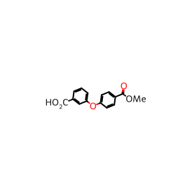 COC(=O)c1ccc(Oc2cccc(C(=O)O)c2)cc1